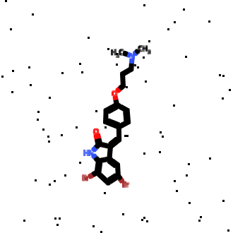 CN(C)CCCOc1ccc(C=C2C(=O)Nc3c(Br)cc(Br)cc32)cc1